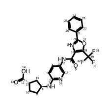 O=C(Nc1ccc(N[C@H]2CC[C@H](C(=O)O)C2)nc1)c1nc(-c2ccccc2)oc1C(F)(F)F